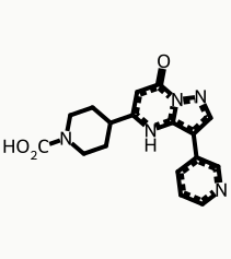 O=C(O)N1CCC(c2cc(=O)n3ncc(-c4cccnc4)c3[nH]2)CC1